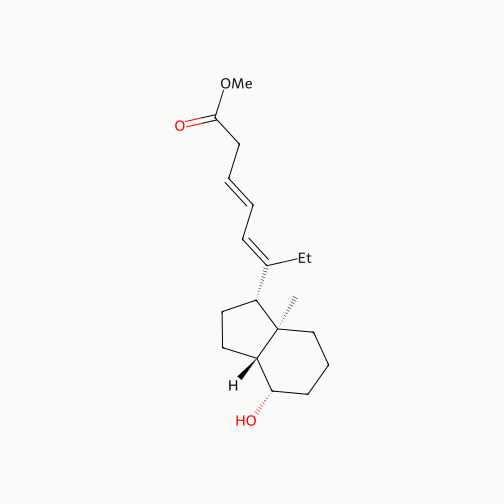 CC/C(=C\C=C\CC(=O)OC)[C@H]1CC[C@H]2[C@@H](O)CCC[C@]12C